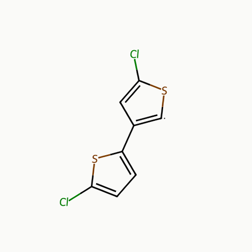 Clc1cc(-c2ccc(Cl)s2)[c]s1